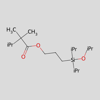 CC(C)O[Si](CCCOC(=O)C(C)(C)C(C)C)(C(C)C)C(C)C